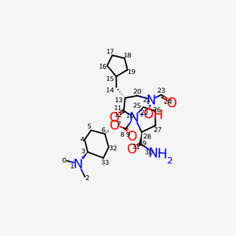 CN(C)[C@H]1CC[C@H](OC(=O)[N+]2(C(=O)[C@H](CC3CCCC3)CN(O)C=O)CCC[C@H]2C(N)=O)CC1